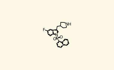 O=S(=O)(c1cccc2ccccc12)n1cc(CC2CCNCC2)c2cc(F)ccc21